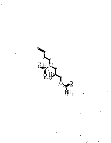 C=CCCN(CC(O)COC(N)=O)[SH](=O)=O